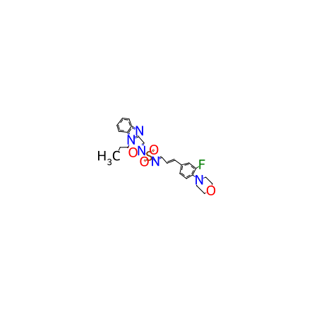 CCC(=O)n1c(C=NS(=O)(=O)N=CC=Cc2ccc(N3CCOCC3)c(F)c2)nc2ccccc21